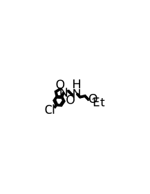 CCOCCCNC(=O)CN1C(=O)Cc2cc(Cl)ccc21